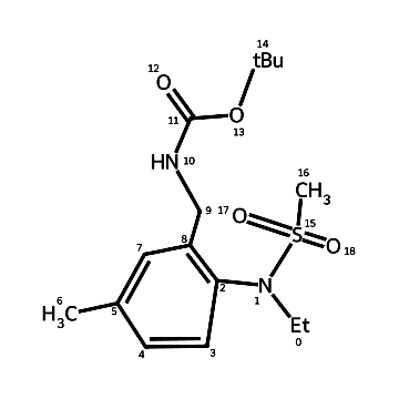 CCN(c1ccc(C)cc1CNC(=O)OC(C)(C)C)S(C)(=O)=O